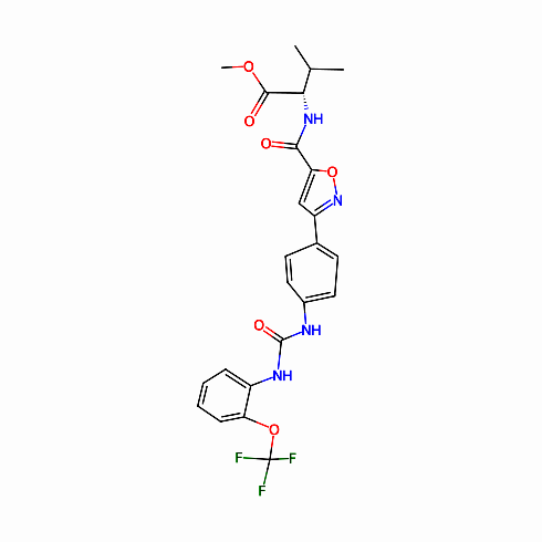 COC(=O)[C@@H](NC(=O)c1cc(-c2ccc(NC(=O)Nc3ccccc3OC(F)(F)F)cc2)no1)C(C)C